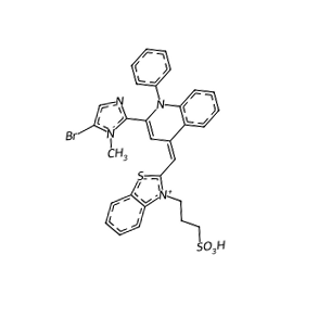 Cn1c(Br)cnc1C1=C/C(=C\c2sc3ccccc3[n+]2CCCS(=O)(=O)O)c2ccccc2N1c1ccccc1